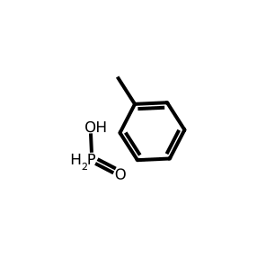 Cc1ccccc1.O=[PH2]O